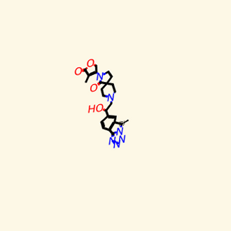 CC1=C(N2CCC3(CCN(CC(O)c4ccc5c(c4)[C@@H](C)n4nnnc4-5)CC3)C2=O)COC1=O